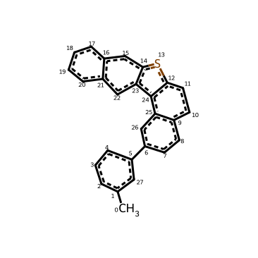 Cc1cccc(-c2ccc3ccc4sc5cc6ccccc6cc5c4c3c2)c1